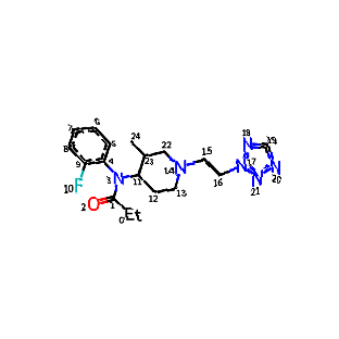 CCC(=O)N(c1ccccc1F)C1CCN(CCn2ncnn2)CC1C